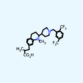 CC(Cc1ccc2c(c1)N(C)C(C1CCN(Cc3cc(C(F)(F)F)ccc3C(F)(F)F)CC1)CC2)C(=O)O